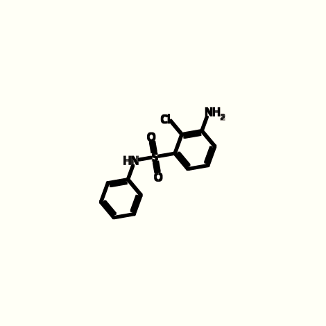 Nc1cccc(S(=O)(=O)Nc2ccccc2)c1Cl